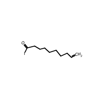 C=CCCCCCCCC(=O)I